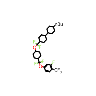 CCCCC1CCC(C2CCC(C(F)(F)OC3CCC(C(F)(F)Oc4ccc(C(F)(F)F)c(F)c4)CC3)CC2)CC1